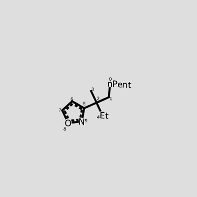 CCCCCCC(C)(CC)c1ccon1